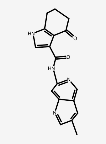 Cc1cnc2cc(NC(=O)c3c[nH]c4c3C(=O)CCC4)ncc2c1